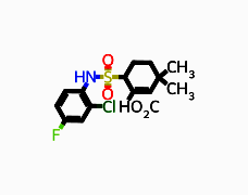 CC1(C)C=C(C(=O)O)C(S(=O)(=O)Nc2ccc(F)cc2Cl)CC1